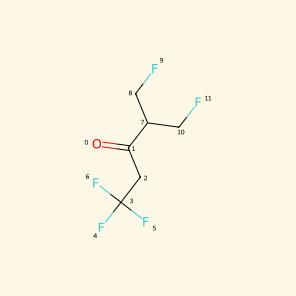 O=C(CC(F)(F)F)C(CF)CF